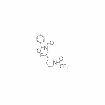 O=C1c2ccccc2C(=O)N1C/C(F)=C1/CCCN(C(=O)C(F)(F)F)C1